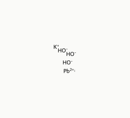 [K+].[OH-].[OH-].[OH-].[Pb+2]